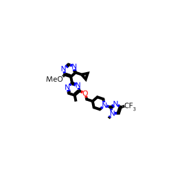 COc1ncnc(C2CC2)c1-c1ncc(C)c(OCC2CCN(c3nc(C(F)(F)F)cn3C)CC2)n1